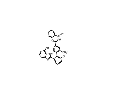 CCC[C@@H](NC(=O)c1ccc(-c2c(Cl)cccc2-c2nc3cccc(O)c3[nH]2)c(C(=O)O)c1)c1ccccc1